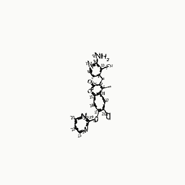 Cc1c(Cc2ccnc(N)c2F)c(=O)oc2cc(Oc3ncccn3)c(Cl)cc12